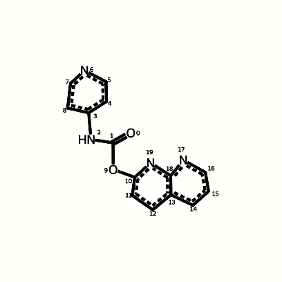 O=C(Nc1ccncc1)Oc1ccc2cccnc2n1